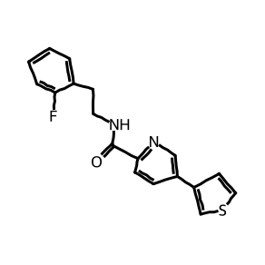 O=C(NCCc1ccccc1F)c1ccc(-c2ccsc2)cn1